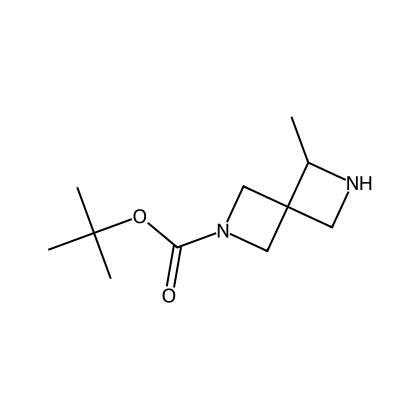 CC1NCC12CN(C(=O)OC(C)(C)C)C2